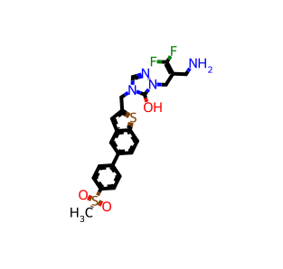 CS(=O)(=O)c1ccc(-c2ccc3sc(CN4C=NN(CC(CN)=C(F)F)C4O)cc3c2)cc1